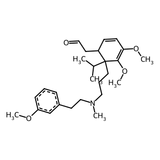 COC1=C(OC)C(CCCN(C)CCc2cccc(OC)c2)(C(C)C)C(CC=O)C=C1